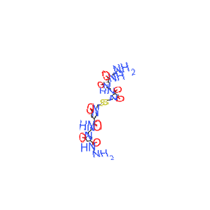 NCCNC(=O)C1CC(=O)N(CCNC(=O)C2CC(=O)N(CCSSCCN3CC(C(=O)NCCN4CC(C(=O)NCCN)CC4=O)CC3=O)C2)C1